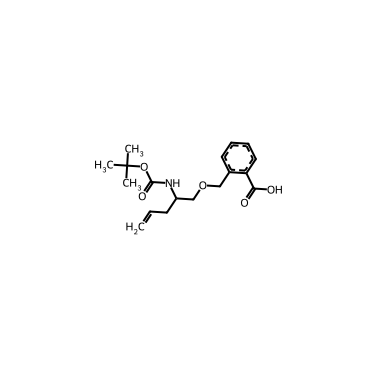 C=CCC(COCc1ccccc1C(=O)O)NC(=O)OC(C)(C)C